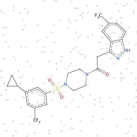 O=C(Cc1n[nH]c2ccc(C(F)(F)F)cc12)N1CCN(S(=O)(=O)c2cc(C3CC3)cc(C(F)(F)F)c2)CC1